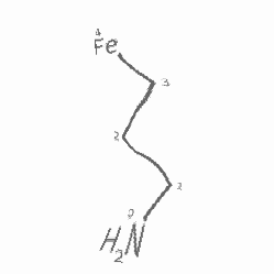 NCC[CH2][Fe]